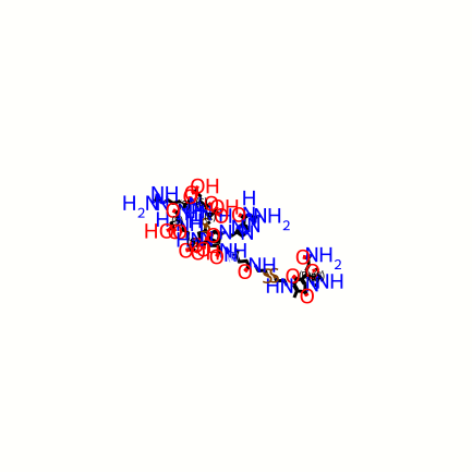 CO[C@]12[C@H](C)NCN1C1=C(C(=O)C(NCCSSCCNC(=O)CC/C(C)=N/NC(=O)CCN3C(=O)CC(SC[C@H](NC(=O)[C@H](CC(=O)O)NC(=O)[C@H](CCCNC(=N)N)NC(=O)[C@H](CC(=O)O)NC(=O)CC[C@H](NC(=O)c4ccc(NCc5cnc6nc(N)[nH]c(=O)c6n5)cc4)C(=O)O)C(=O)O)C3=O)=C(C)C1=O)[C@H]2CCC(N)=O